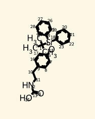 CC(C)(C)[Si](Oc1ccc(CCNC(=O)O)cc1)(c1ccccc1)c1ccccc1